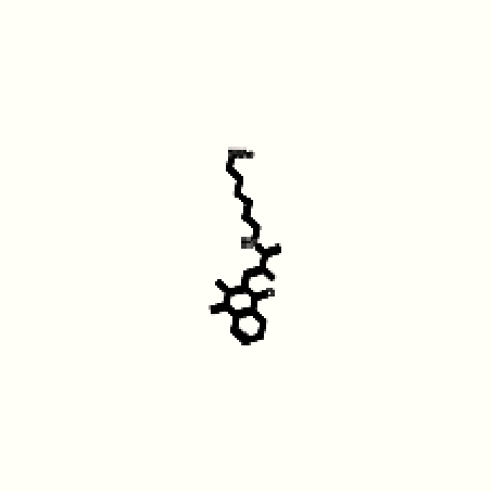 C=C1C(C)=C(/C=C(\C)C(=C)NCCCCCCNC)C(=O)C2=C1C=CCC2